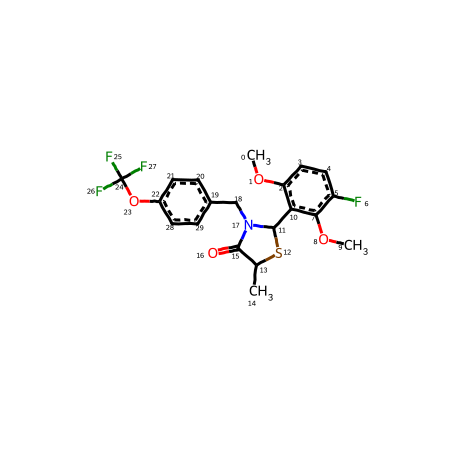 COc1ccc(F)c(OC)c1C1SC(C)C(=O)N1Cc1ccc(OC(F)(F)F)cc1